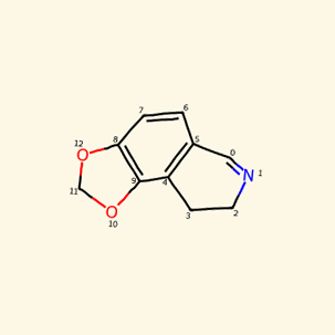 C1=NCCc2c1ccc1c2OCO1